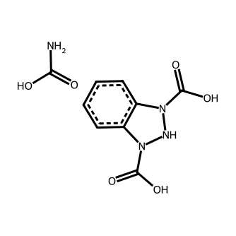 NC(=O)O.O=C(O)N1NN(C(=O)O)c2ccccc21